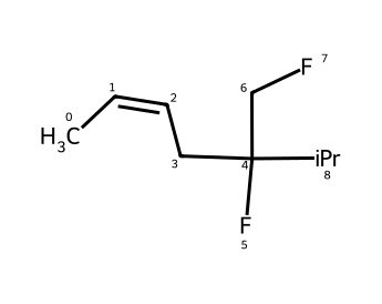 C/C=C\CC(F)(CF)C(C)C